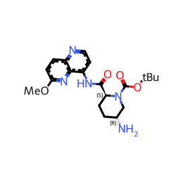 COc1ccc2nccc(NC(=O)[C@@H]3CC[C@@H](N)CN3C(=O)OC(C)(C)C)c2n1